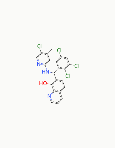 Cc1cc(NC(c2cc(Cl)cc(Cl)c2Cl)c2ccc3cccnc3c2O)ncc1Cl